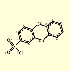 O=S(=O)(Cl)c1ccc2c(c1)Sc1ccccc1S2